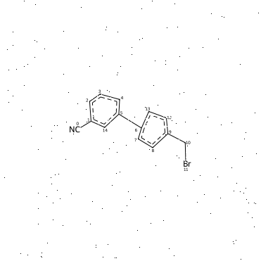 N#Cc1cccc(-c2ccc(CBr)cc2)c1